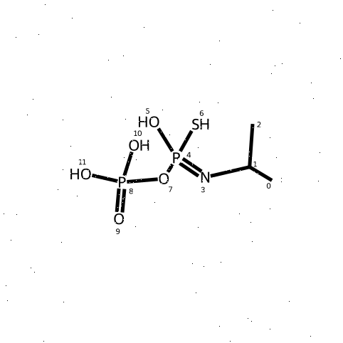 CC(C)N=P(O)(S)OP(=O)(O)O